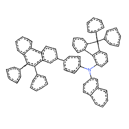 c1ccc(-c2c(-c3ccccc3)c3cc(-c4ccc(N(c5ccc6ccccc6c5)c5cccc6c5-c5ccccc5C6(c5ccccc5)c5ccccc5)cc4)ccc3c3ccccc23)cc1